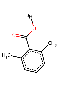 [3H]OC(=O)c1c(C)cccc1C